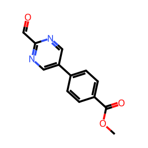 COC(=O)c1ccc(-c2cnc(C=O)nc2)cc1